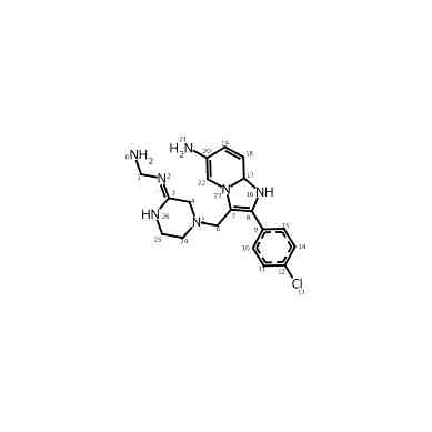 NC/N=C1/CN(CC2=C(c3ccc(Cl)cc3)NC3C=CC(N)=CN23)CCN1